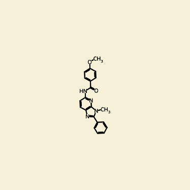 COc1ccc(C(=O)Nc2ccc3nc(-c4ccccc4)n(C)c3n2)cc1